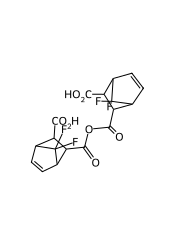 O=C(O)C1C(C(=O)OC(=O)C2C(C(=O)O)C3C=CC2C3(F)F)C2C=CC1C2(F)F